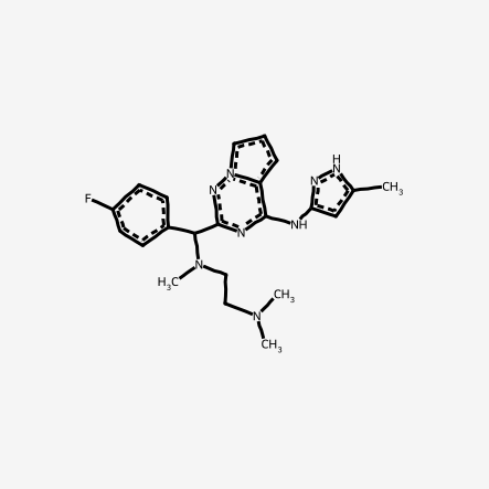 Cc1cc(Nc2nc(C(c3ccc(F)cc3)N(C)CCN(C)C)nn3cccc23)n[nH]1